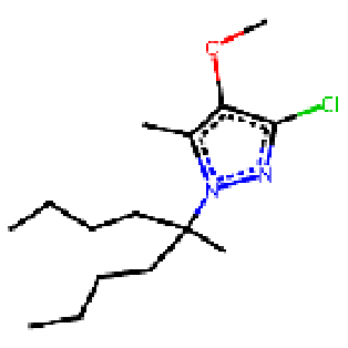 CCCCC(C)(CCCC)n1nc(Cl)c(OC)c1C